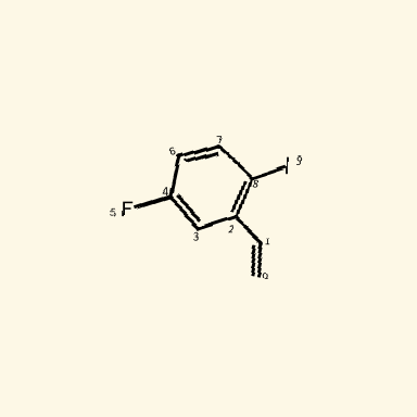 C=Cc1cc(F)ccc1I